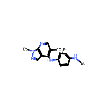 CCNc1ccc(Nc2c(C(=O)OCC)cnc3c2cnn3CC)cc1